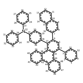 c1ccc(-c2cc(-c3ccc4ccccc4c3)c(-c3ccc(N(c4ccccc4)c4ccccc4)cc3)c3c4ccccc4c4ccccc4c23)cc1